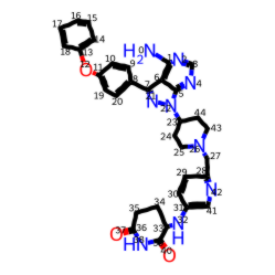 Nc1ncnc2c1c(-c1ccc(Oc3ccccc3)cc1)nn2C1CCN(Cc2ccc(NC3CCC(=O)NC3=O)cn2)CC1